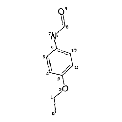 CCOc1ccc([N]C=O)cc1